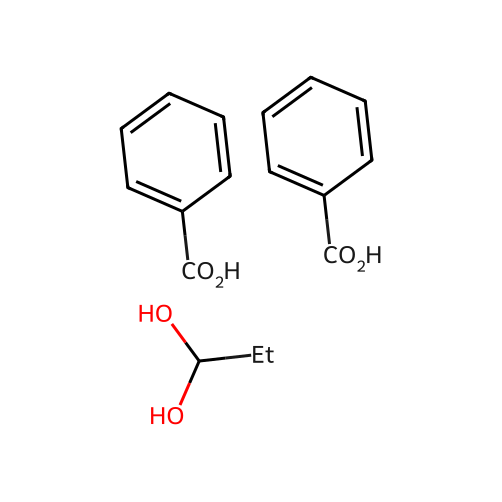 CCC(O)O.O=C(O)c1ccccc1.O=C(O)c1ccccc1